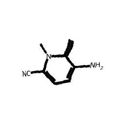 C=C1C(N)=CC=C(C#N)N1C